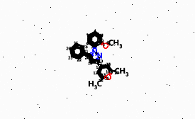 COc1ccccc1-n1nc(C2C[C@@H](C)O[C@H](C)C2)cc1-c1ccccc1